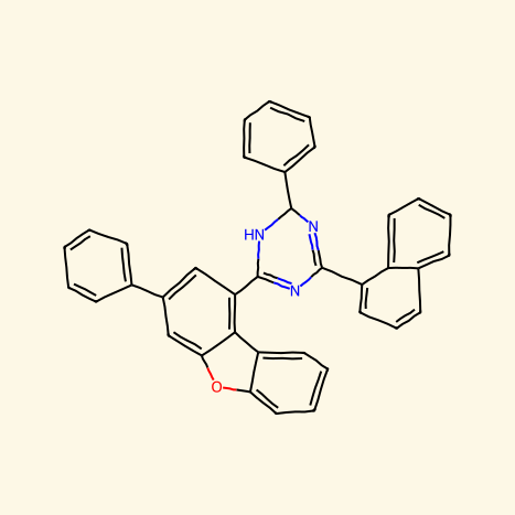 c1ccc(-c2cc(C3=NC(c4cccc5ccccc45)=NC(c4ccccc4)N3)c3c(c2)oc2ccccc23)cc1